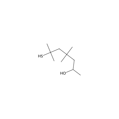 CC(O)CC(C)(C)CC(C)(C)S